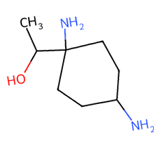 CC(O)C1(N)CCC(N)CC1